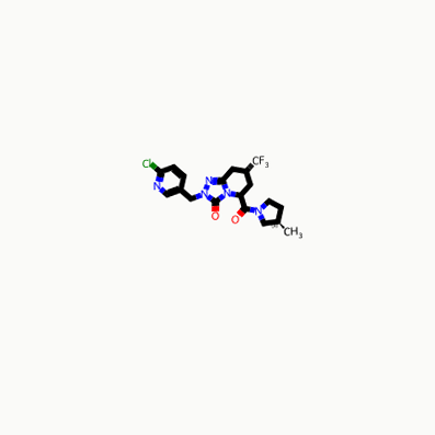 C[C@H]1CCN(C(=O)C2CC(C(F)(F)F)Cc3nn(Cc4ccc(Cl)nc4)c(=O)n32)C1